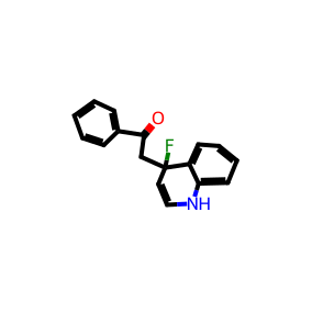 O=C(CC1(F)C=CNc2ccccc21)c1ccccc1